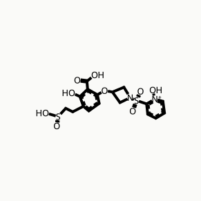 O=C(O)c1c(OC2CN(S(=O)(=O)c3cccc[n+]3O)C2)ccc(CCS(=O)O)c1O